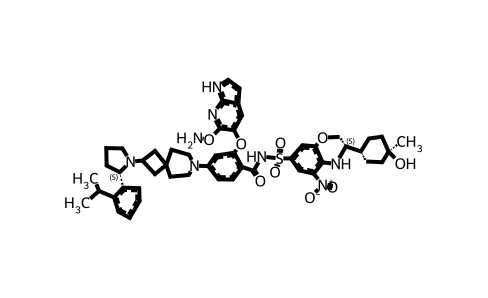 CC(C)c1ccccc1[C@@H]1CCCN1C1CC2(CCN(c3ccc(C(=O)NS(=O)(=O)c4cc5c(c([N+](=O)[O-])c4)N[C@@H]([C@H]4CC[C@](C)(O)CC4)CO5)c(Oc4cc5cc[nH]c5nc4ON)c3)CC2)C1